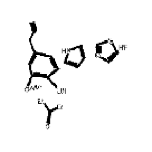 C=CCc1ccc(O)c(OC)c1.CCC(=O)CC.F.c1cc[nH]c1.c1cscn1